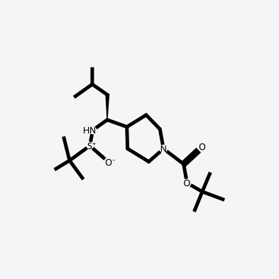 CC(C)C[C@H](N[S+]([O-])C(C)(C)C)C1CCN(C(=O)OC(C)(C)C)CC1